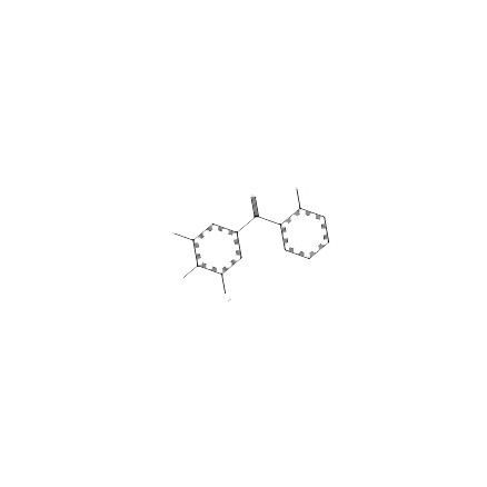 O=C(c1cc(O)c(O)c([N+](=O)[O-])c1)c1ccccc1C(F)(F)F